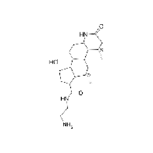 C[C@H]1CC(=O)NC2CCC3C(C[C@H](C)C4C(C(=O)NCCN)CCC34)C21.Cl